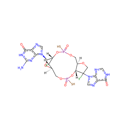 Nc1nc2c(ncn2[C@@H]2O[C@@H]3COP(=O)(S)O[C@@H]4[C@@H](COP(=O)(S)O[C@@H]2[C@H]3F)OCC4(F)n2cnc3c(=O)[nH]cnc32)c(=O)[nH]1